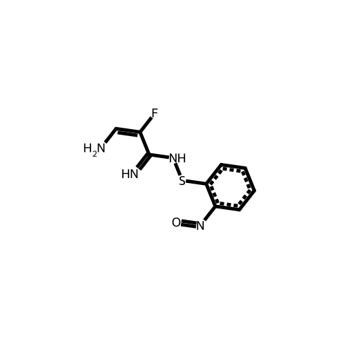 N=C(NSc1ccccc1N=O)/C(F)=C\N